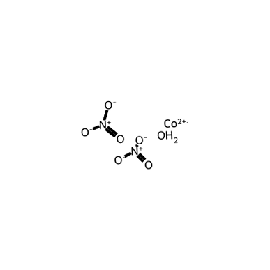 O.O=[N+]([O-])[O-].O=[N+]([O-])[O-].[Co+2]